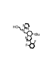 CC(C)(C)[C@H]1CCC(CN(CCO)c2ncccn2)C2N=NC(c3c(F)cccc3F)=CC21